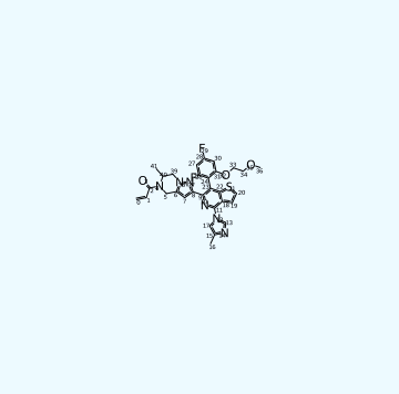 C=CC(=O)N1Cc2cc(-c3nc(-n4cnc(C)c4)c4ccsc4c3-c3c(F)cc(F)cc3OCCOC)nn2CC1C